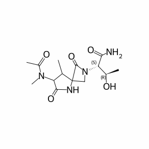 CC(=O)N(C)C1C(=O)NC2(CN([C@H](C(N)=O)[C@@H](C)O)C2=O)C1C